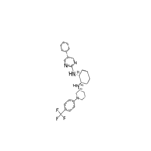 FC(F)(F)c1ccc(N2CCC[C@H](N[C@@H]3CCCC[C@H]3Nc3ncc(-c4ccccc4)cn3)C2)cc1